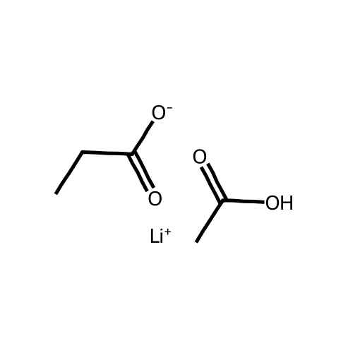 CC(=O)O.CCC(=O)[O-].[Li+]